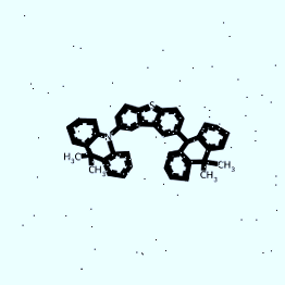 CC1(C)c2ccccc2C(c2ccc3sc4ccc(N5c6ccccc6C(C)(C)c6ccccc65)cc4c3c2)c2ccccc21